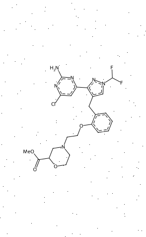 COC(=O)C1CN(CCOc2ccccc2Cc2cn(C(F)F)nc2-c2cc(Cl)nc(N)n2)CCO1